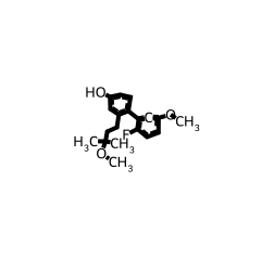 COc1ccc(F)c(-c2ccc(O)cc2CCC(C)(C)OC)c1